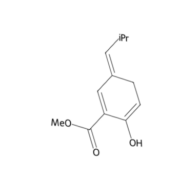 COC(=O)C1=CC(=CC(C)C)CC=C1O